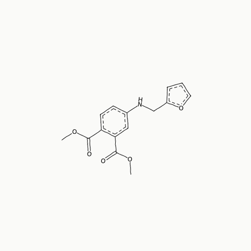 COC(=O)c1ccc(NCc2ccco2)cc1C(=O)OC